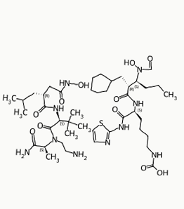 CC(C)C[C@H](CC(=O)NO)C(=O)N[C@H](C(=O)N(CCN)[C@@H](C)C(N)=O)C(C)(C)C.CCC[C@@H]([C@@H](CC1CCCCC1)C(=O)N[C@@H](CCCCNC(=O)O)C(=O)Nc1nccs1)N(O)C=O